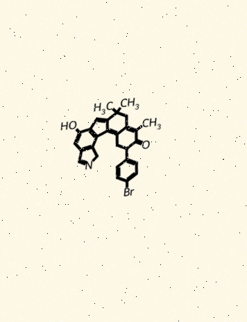 CC1=C2CC(C)(C)C3=Cc4c(O)cc5c(c4C3=C2CC(c2ccc(Br)cc2)C1=O)CN=C5